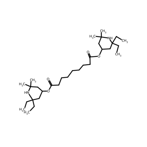 CCC1(CC)CC(OC(=O)CCCCCCCC(=O)OC2CC(C)(C)NC(CC)(CC)C2)CC(C)(C)N1